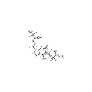 C[C@H](CC[C@@H](O)C(C)(C)O)C1CC[C@@]2(C)C3CCC4C(CC[C@H]([N+](=O)[O-])C4(C)C)[C@]3(C)C(=O)C[C@]12C